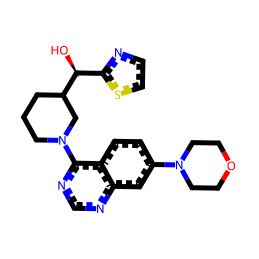 O[C@@H](c1nccs1)C1CCCN(c2ncnc3cc(N4CCOCC4)ccc23)C1